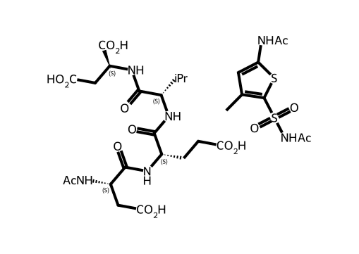 CC(=O)N[C@@H](CC(=O)O)C(=O)N[C@@H](CCC(=O)O)C(=O)N[C@H](C(=O)N[C@@H](CC(=O)O)C(=O)O)C(C)C.CC(=O)Nc1cc(C)c(S(=O)(=O)NC(C)=O)s1